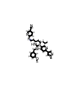 CCC[C@@H](CCC/C=N\c1ccc(C#N)cn1)N(C(=N)NCc1cccc(OC)c1)c1ccc(-c2cnn(C)c2)nc1